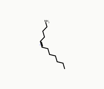 CCCCCC/C=C\CCCN